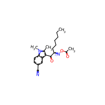 CCCCCC/C(=N\OC(C)=O)C(=O)c1c(C)n(C)c2ccc(C#N)cc12